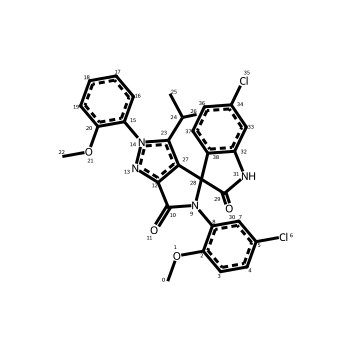 COc1ccc(Cl)cc1N1C(=O)c2nn(-c3ccccc3OC)c(C(C)C)c2C12C(=O)Nc1cc(Cl)ccc12